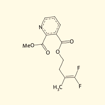 COC(=O)c1ncccc1C(=O)OCCC(C)=C(F)F